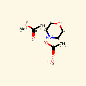 C1COCCN1.CC(=O)[O-].CC(=O)[O-].O.[Mg+2]